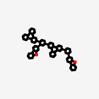 c1cc(-c2ccc3c(c2)oc2ccccc23)cc(-c2ccc3c4ccc(-c5ccc(-c6ccc7c8ccccc8c8ccccc8c7c6)c(-c6ccc7c(c6)oc6ccccc67)c5)cc4c4ccccc4c3c2)c1